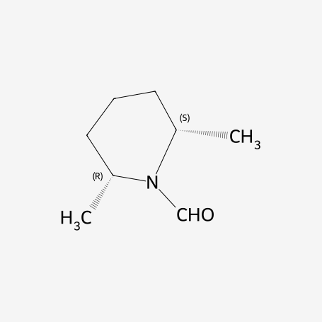 C[C@@H]1CCC[C@H](C)N1C=O